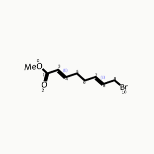 COC(=O)/C=C/CC/C=C/CBr